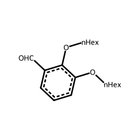 CCCCCCOc1cccc(C=O)c1OCCCCCC